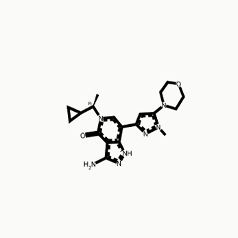 C[C@H](C1CC1)n1cc(-c2cc(N3CCOCC3)n(C)n2)c2[nH]nc(N)c2c1=O